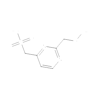 COCc1nccc(CS(=O)(=O)O)n1